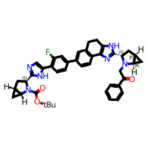 CC(C)(C)OC(=O)N1[C@@H]2C[C@@H]2C[C@H]1c1ncc(-c2ccc(-c3ccc4c(c3)CCc3[nH]c([C@@H]5C[C@H]6C[C@H]6N5CC(=O)c5ccccc5)nc3-4)cc2F)[nH]1